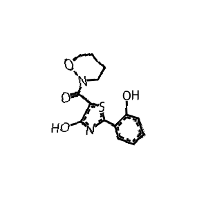 O=C(c1sc(-c2ccccc2O)nc1O)N1CCCCO1